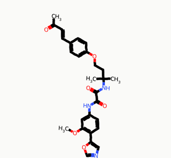 COc1cc(NC(=O)C(=O)NC(C)(C)CCOc2ccc(C=CC(C)=O)cc2)ccc1-c1cnco1